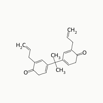 C=CCC1=CC(C(C)(C)C2=CCC(=O)C(CC=C)=C2)=CCC1=O